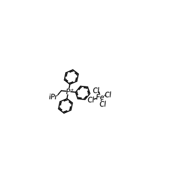 CC(C)C[P+](c1ccccc1)(c1ccccc1)c1ccccc1.[Cl][Fe-]([Cl])([Cl])[Cl]